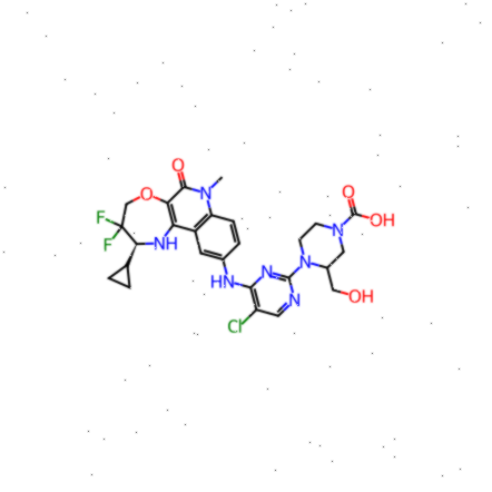 Cn1c(=O)c2c(c3cc(Nc4nc(N5CCN(C(=O)O)CC5CO)ncc4Cl)ccc31)N[C@@H](C1CC1)C(F)(F)CO2